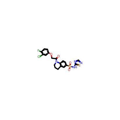 O=C(COc1ccc(F)c(Cl)c1)N1CCCc2cc(S(=O)(=O)Nc3ncns3)ccc21